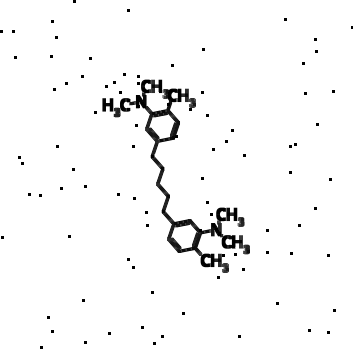 Cc1ccc(CCCCCc2ccc(C)c(N(C)C)c2)cc1N(C)C